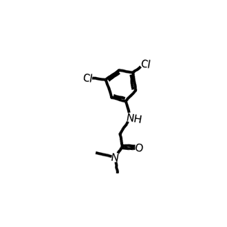 CN(C)C(=O)CNc1cc(Cl)cc(Cl)c1